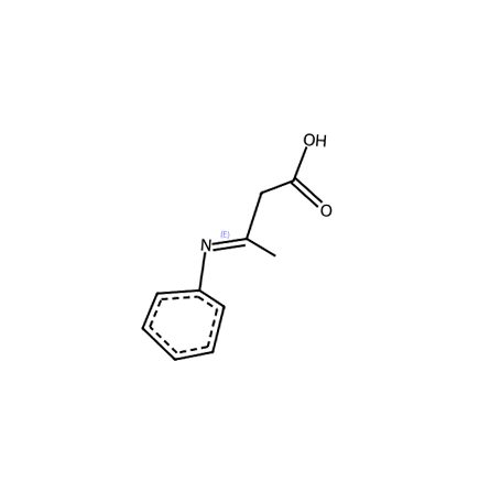 C/C(CC(=O)O)=N\c1ccccc1